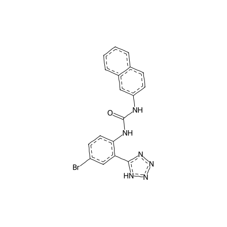 O=C(Nc1ccc2ccccc2c1)Nc1ccc(Br)cc1-c1nnn[nH]1